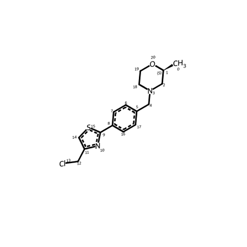 C[C@H]1CN(Cc2ccc(-c3nc(CCl)cs3)cc2)CCO1